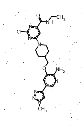 CCNC(=O)c1cc(N2CCC(COc3cc(-c4cn(C)nn4)cnc3N)CC2)nc(Cl)n1